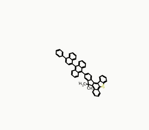 CC1(C)c2cc(-c3c4ccccc4c(-c4ccc(-c5ccccc5)c5ccccc45)c4ccccc34)ccc2-c2c1c1ccccc1c1sc3ccccc3c21